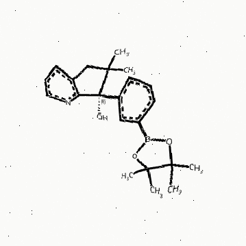 CC1(C)OB(c2cccc([C@@]3(O)c4ncccc4CC3(C)C)c2)OC1(C)C